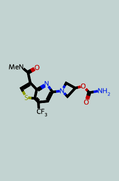 CNC(=O)c1csc2c(C(F)(F)F)cc(N3CC(OC(N)=O)C3)nc12